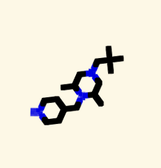 CC1CN(CC(C)(C)C)CC(C)N1CC1CCNCC1